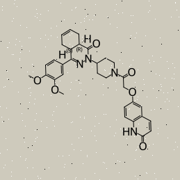 COc1ccc(C2=NN(C3CCN(C(=O)COc4ccc5[nH]c(=O)ccc5c4)CC3)C(=O)[C@@H]3CC=CC[C@H]23)cc1OC